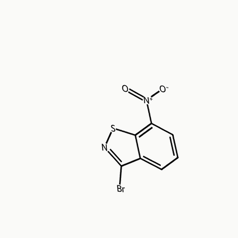 O=[N+]([O-])c1cccc2c(Br)nsc12